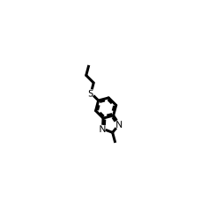 CCCSc1ccc2c(c1)=NC(C)N=2